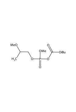 COC(C)COP(=O)(OC)OC(=O)OCC(C)C